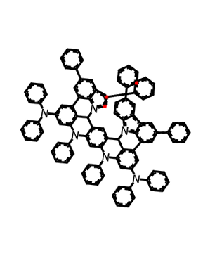 c1ccc(-c2ccc3c(c2)c2cc(-c4ccccc4)cc4c2n3C2c3cc5c(cc3N(c3ccccc3)c3cc(N(c6ccccc6)c6ccccc6)cc-4c32)N(c2ccccc2)c2cc(N(c3ccccc3)c3ccccc3)cc3c2C5n2c4ccc(-c5ccccc5)cc4c4cc(-c5ccccc5)cc-3c42)cc1